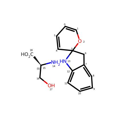 C1=COC2(C=C1)Cc1ccccc1N2.N[C@@H](CO)C(=O)O